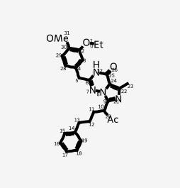 CCOc1cc(Cc2nn3c(C(CCCc4ccccc4)C(C)=O)nc(C)c3c(=O)[nH]2)ccc1OC